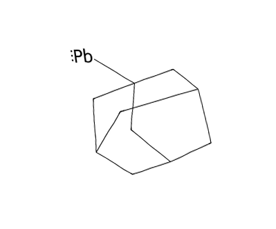 [Pb][C]12CC3CC(CC(C3)C1)C2